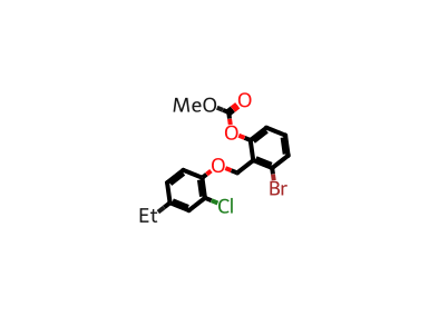 CCc1ccc(OCc2c(Br)cccc2OC(=O)OC)c(Cl)c1